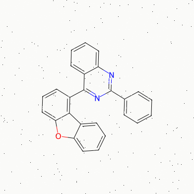 c1ccc(-c2nc(-c3cccc4oc5ccccc5c34)c3ccccc3n2)cc1